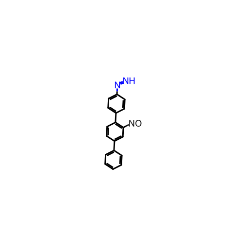 N=Nc1ccc(-c2ccc(-c3ccccc3)cc2N=O)cc1